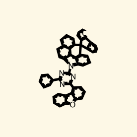 c1ccc(-c2nc(-c3cccc4oc5ccccc5c34)nc(-n3c4cccc5c4c4c6c(cccc6ccc43)C53c4ccccc4-c4ccccc43)n2)cc1